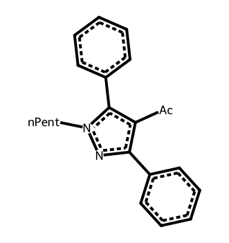 CCCCCn1nc(-c2ccccc2)c(C(C)=O)c1-c1ccccc1